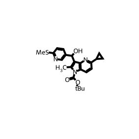 CSc1ccc(C(O)c2c(C)n(C(=O)OC(C)(C)C)c3ccc(C4CC4)nc23)cn1